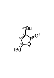 CC(C)(C)C1=CC(C(C)(C)C)OC1=O